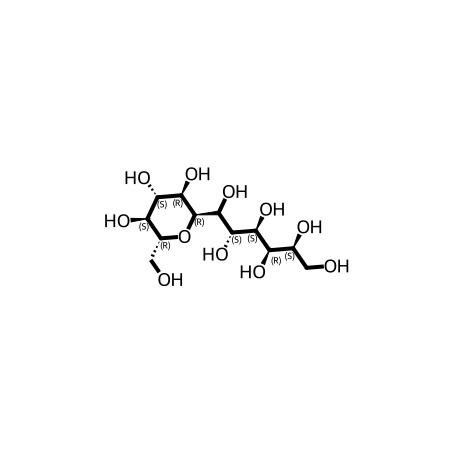 OC[C@H](O)[C@@H](O)[C@H](O)[C@H](O)C(O)[C@H]1O[C@H](CO)[C@@H](O)[C@H](O)[C@H]1O